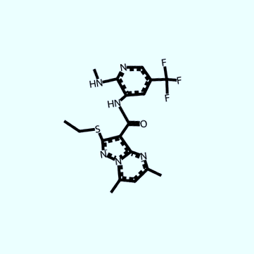 CCSc1nn2c(C)cc(C)nc2c1C(=O)Nc1cc(C(F)(F)F)cnc1NC